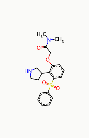 CN(C)C(=O)COc1cccc(S(=O)(=O)c2ccccc2)c1C1CCNC1